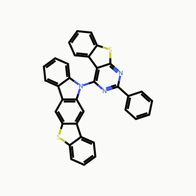 c1ccc(-c2nc(-n3c4ccccc4c4cc5sc6ccccc6c5cc43)c3c(n2)sc2ccccc23)cc1